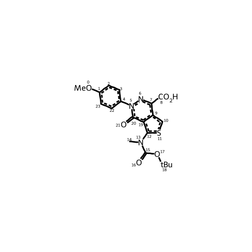 COc1ccc(-n2nc(C(=O)O)c3csc(N(C)C(=O)OC(C)(C)C)c3c2=O)cc1